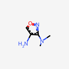 CN(C)c1nocc1N